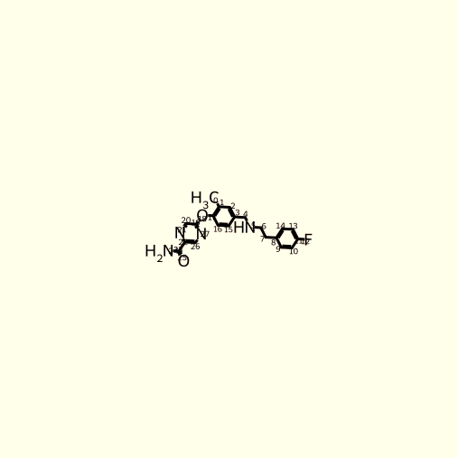 Cc1cc(CNCCc2ccc(F)cc2)ccc1Oc1cnc(C(N)=O)cn1